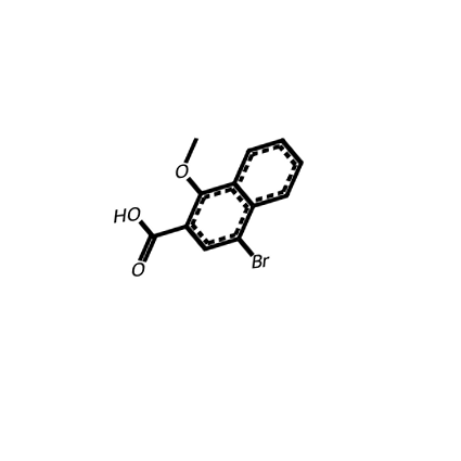 COc1c(C(=O)O)cc(Br)c2ccccc12